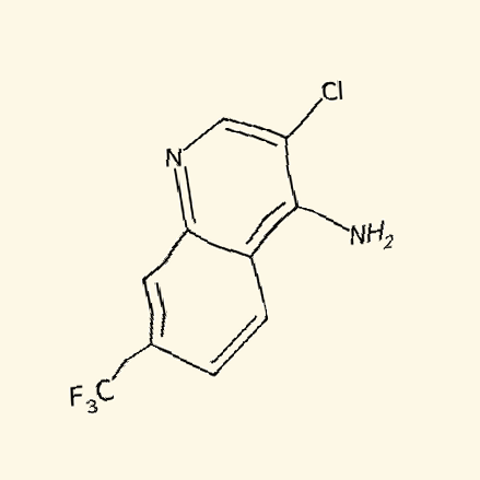 Nc1c(Cl)cnc2cc(C(F)(F)F)ccc12